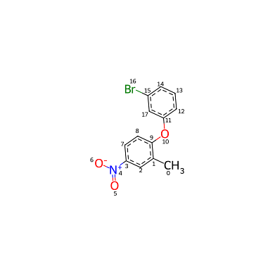 Cc1cc([N+](=O)[O-])ccc1Oc1cccc(Br)c1